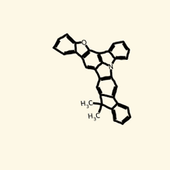 CC1(C)c2ccccc2-c2cc3c(cc21)c1cc2c4ccccc4oc2c2c4ccccc4n3c12